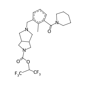 Cc1c(CN2CC3CN(C(=O)OC(C(F)(F)F)C(F)(F)F)CC3C2)cccc1C(=O)N1CCCCC1